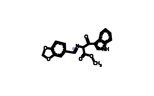 COC(=O)C(/N=C/c1ccc2c(c1)OCO2)C(=O)c1c[nH]c2ccccc12